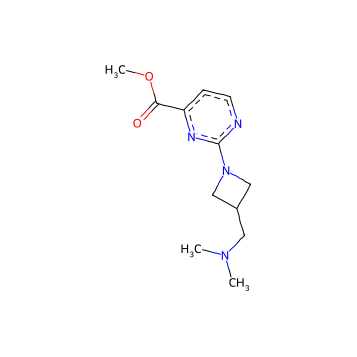 COC(=O)c1ccnc(N2CC(CN(C)C)C2)n1